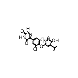 CC(C)C1=CC(Oc2c(Cl)cc(-c3n[nH]c(=O)[nH]c3=O)cc2Cl)=NN(C)C1O